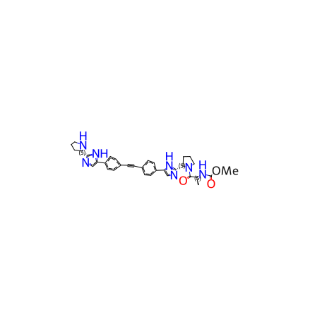 COC(=O)N[C@@H](C)C(=O)N1CCC[C@H]1c1ncc(-c2ccc(C#Cc3ccc(-c4cnc([C@@H]5CCCN5)[nH]4)cc3)cc2)[nH]1